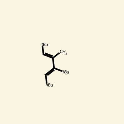 CCCC/[C]=C(/C(C)=CC(C)(C)C)C(C)(C)C